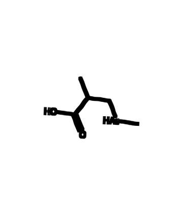 C[AsH]CC(C)C(=O)O